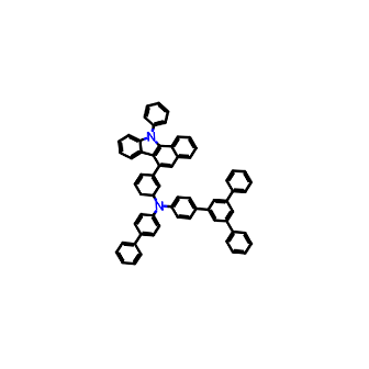 C1=CC(c2cc3ccccc3c3c2c2ccccc2n3-c2ccccc2)=CC(N(c2ccc(-c3ccccc3)cc2)c2ccc(-c3cc(-c4ccccc4)cc(-c4ccccc4)c3)cc2)C1